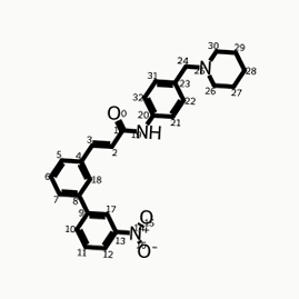 O=C(C=Cc1cccc(-c2cccc([N+](=O)[O-])c2)c1)Nc1ccc(CN2CCCCC2)cc1